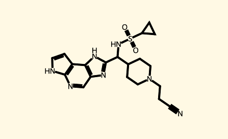 N#CCCN1CCC(C(NS(=O)(=O)C2CC2)c2nc3cnc4[nH]ccc4c3[nH]2)CC1